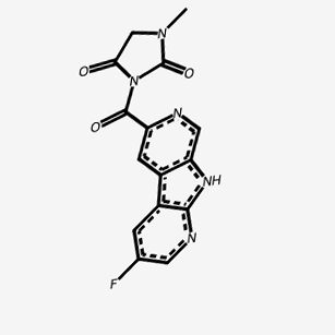 CN1CC(=O)N(C(=O)c2cc3c(cn2)[nH]c2ncc(F)cc23)C1=O